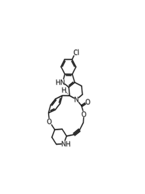 O=C1OCC#CC2CC(CCN2)Oc2ccc(cc2)[C@H]2c3[nH]c4ccc(Cl)cc4c3CCN12